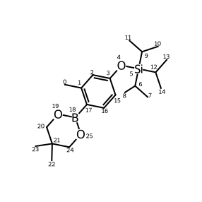 Cc1cc(O[Si](C(C)C)(C(C)C)C(C)C)ccc1B1OCC(C)(C)CO1